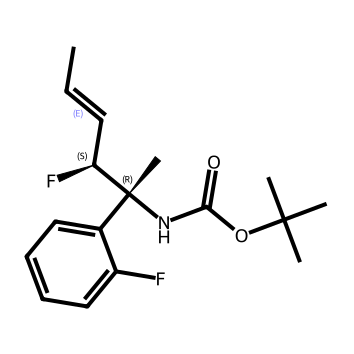 C/C=C/[C@H](F)[C@](C)(NC(=O)OC(C)(C)C)c1ccccc1F